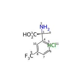 C[C@](N)(C(=O)O)c1cccc(C(F)(F)F)c1.Cl